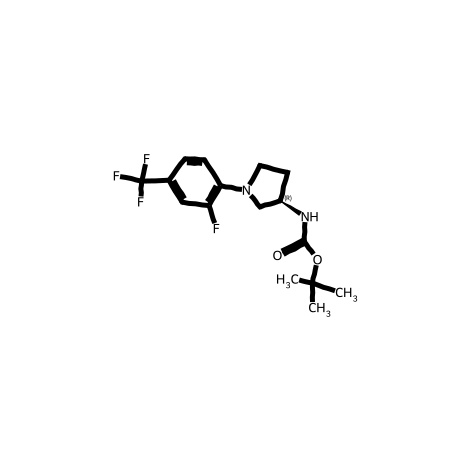 CC(C)(C)OC(=O)N[C@@H]1CCN(c2ccc(C(F)(F)F)cc2F)C1